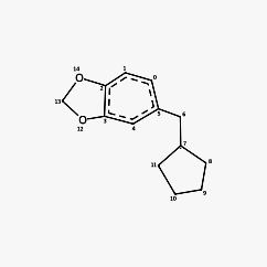 c1cc2c(cc1C[C]1CCCC1)OCO2